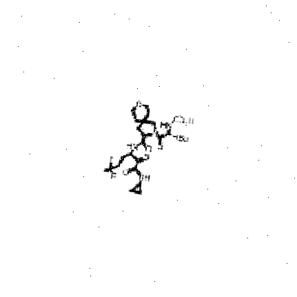 CC(F)(F)CCC(NC(=O)C1CC2(CCOCC2)CN1C(=O)[C@@H](NC(=O)O)C(C)(C)C)C(=O)C(=O)NC1CC1